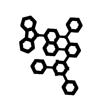 c1ccc(-c2nc(-c3ccccc3)nc(-c3cccc4c3-c3cccc5c(-n6c7ccccc7c7ccccc76)ccc(c35)N4c3ccccc3)n2)cc1